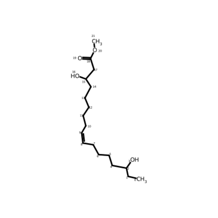 CCC(O)CCCC/C=C\CCCCCC(O)CC(=O)OC